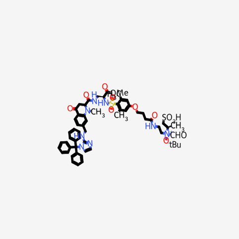 COC(=O)[C@H](CNC(=O)C1CC(=O)c2ccc(CNc3nccn3C(c3ccccc3)(c3ccccc3)c3ccccc3)cc2N1C)NS(=O)(=O)c1c(C)cc(OCCCC(=O)NCC[N+](C=O)(OC(C)(C)C)[C@H](C)CS(=O)(=O)O)cc1C